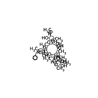 CO/N=C1\C[C@@H](C)O[C@@H](O[C@@H]2[C@@H](C)[C@H](O[C@H]3CC(C)N(Cc4ccccc4)C[C@H](C)O3)[C@@H](C)C(=O)O[C@H]([C@@H](C)CO[C@@H]3O[C@H](C)[C@@H](O)[C@@H](OC)[C@H]3OC)[C@H](C)[C@@H](OC(=O)CC(C)C)[C@@H](C)C(=O)[C@@](C)(O)C[C@@H]2C)[C@@H]1O